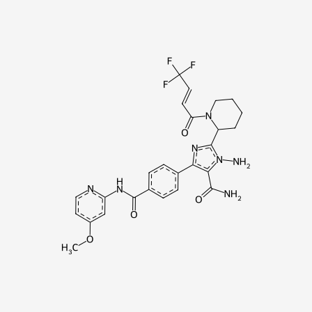 COc1ccnc(NC(=O)c2ccc(-c3nc(C4CCCCN4C(=O)/C=C/C(F)(F)F)n(N)c3C(N)=O)cc2)c1